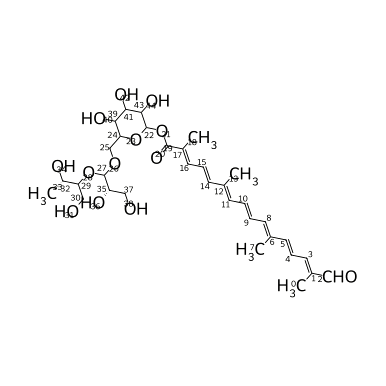 C\C(C=O)=C/C=C/C(C)=C/C=C/C=C(C)/C=C/C=C(\C)C(=O)OC1OC(COC(OC(CO)[C@H](C)O)[C@@H](O)CO)C(O)C(O)C1O